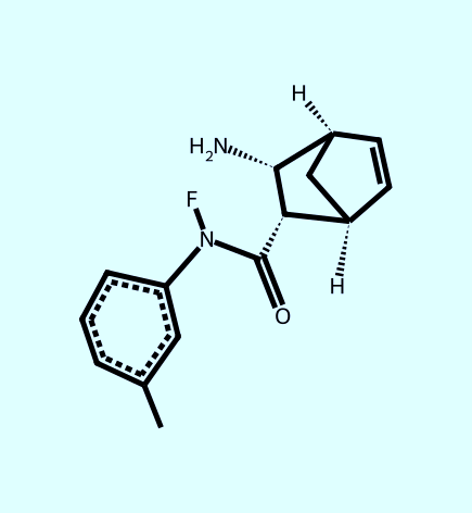 Cc1cccc(N(F)C(=O)[C@@H]2[C@H](N)[C@H]3C=C[C@@H]2C3)c1